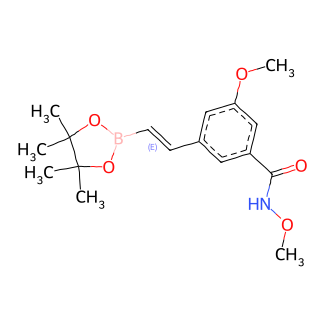 CONC(=O)c1cc(/C=C/B2OC(C)(C)C(C)(C)O2)cc(OC)c1